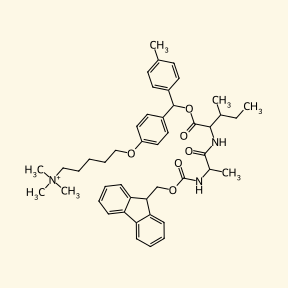 CCC(C)C(NC(=O)C(C)NC(=O)OCC1c2ccccc2-c2ccccc21)C(=O)OC(c1ccc(C)cc1)c1ccc(OCCCCC[N+](C)(C)C)cc1